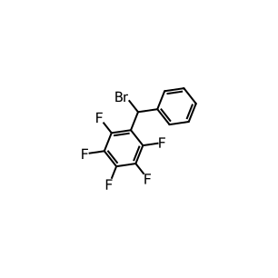 Fc1c(F)c(F)c(C(Br)c2ccccc2)c(F)c1F